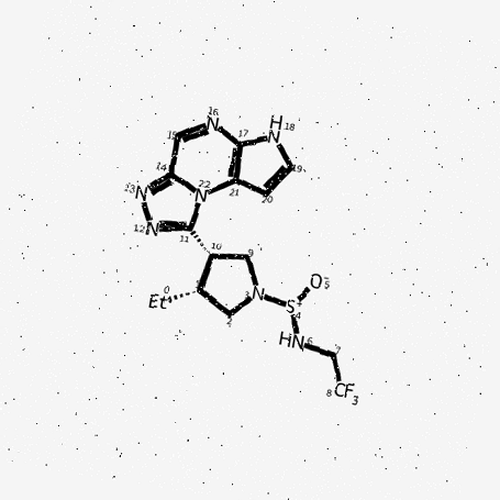 CC[C@H]1CN([S+]([O-])NCC(F)(F)F)C[C@H]1c1nnc2cnc3[nH]ccc3n12